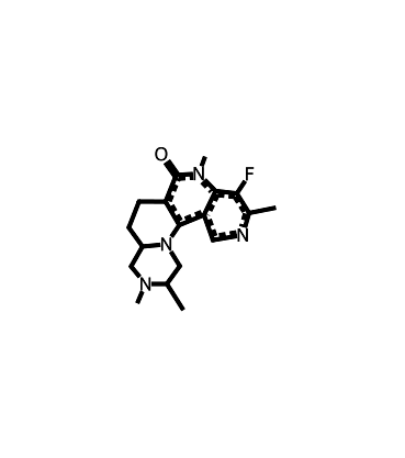 Cc1ncc2c3c(c(=O)n(C)c2c1F)CCC1CN(C)C(C)CN31